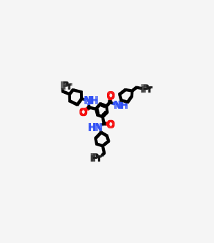 CC(C)CC1CCC(NC(=O)c2cc(C(=O)NC3CCC(CC(C)C)CC3)cc(C(=O)NC3CCC(CC(C)C)CC3)c2)CC1